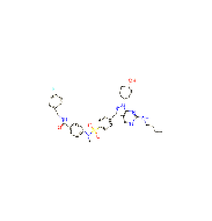 CCCCNc1ncc2c(-c3ccc(S(=O)(=O)N(C)c4ccc(C(=O)NCc5ccc(F)cc5)cc4)cc3)nn([C@H]3CC[C@@H](O)CC3)c2n1